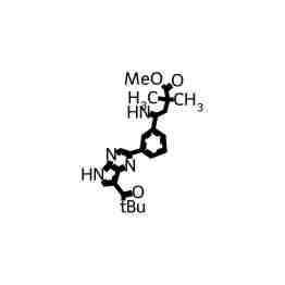 COC(=O)C(C)(C)CC(=N)c1cccc(-c2cnc3[nH]cc(C(=O)C(C)(C)C)c3n2)c1